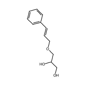 OCC(O)COC/C=C/c1ccccc1